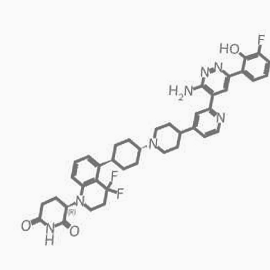 Nc1nnc(-c2cccc(F)c2O)cc1-c1cc(C2CCN([C@H]3CC[C@H](c4cccc5c4C(F)(F)CCN5[C@@H]4CCC(=O)NC4=O)CC3)CC2)ccn1